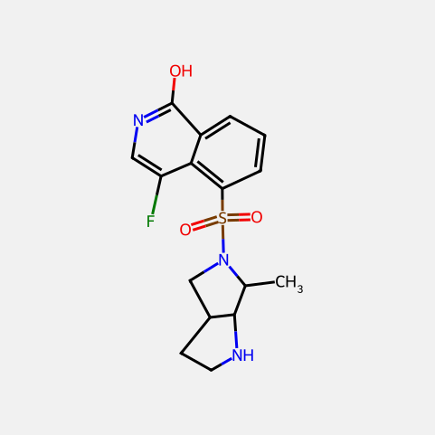 CC1C2NCCC2CN1S(=O)(=O)c1cccc2c(O)ncc(F)c12